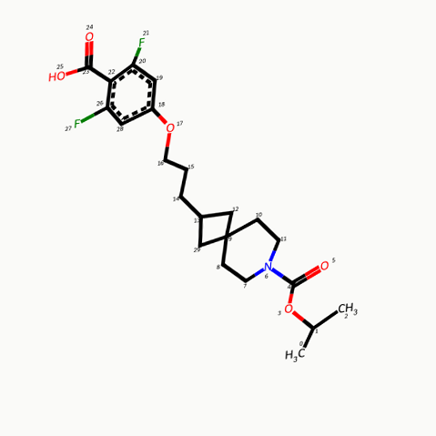 CC(C)OC(=O)N1CCC2(CC1)CC(CCCOc1cc(F)c(C(=O)O)c(F)c1)C2